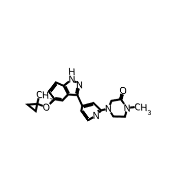 CN1CCN(c2cc(-c3n[nH]c4ccc(OC5(C)CC5)cc34)ccn2)CC1=O